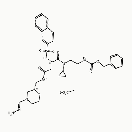 CC(=O)O.NN=CN1CCC[C@@H](CNC(=O)C[C@H](NS(=O)(=O)c2ccc3ccccc3c2)C(=O)N(CCNC(=O)OCc2ccccc2)C2CC2)C1